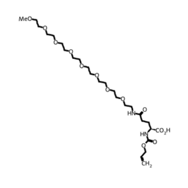 C=CCOC(=O)N[C@@H](CCC(=O)NCCOCCOCCOCCOCCOCCOCCOCCOC)C(=O)O